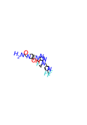 NC(=O)CN1CC[C@H](Cn2cc(F)c3c(N(Cc4ccc(C(F)(F)F)nc4)C4CC4)ncnc32)[C@@H](O)C1